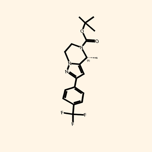 C[C@@H]1c2cc(-c3ccc(C(F)(F)F)cc3)nn2CCN1C(=O)OC(C)(C)C